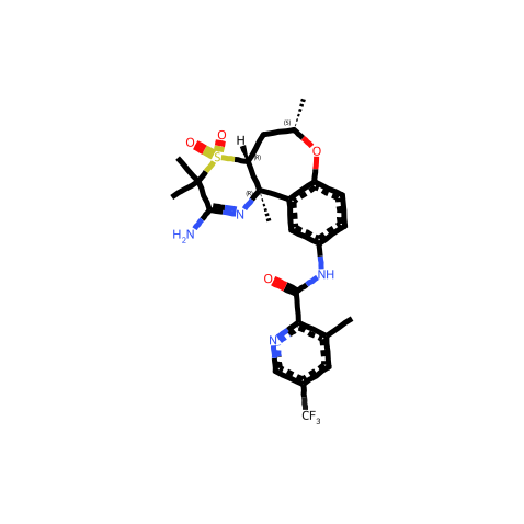 Cc1cc(C(F)(F)F)cnc1C(=O)Nc1ccc2c(c1)[C@@]1(C)N=C(N)C(C)(C)S(=O)(=O)[C@@H]1C[C@H](C)O2